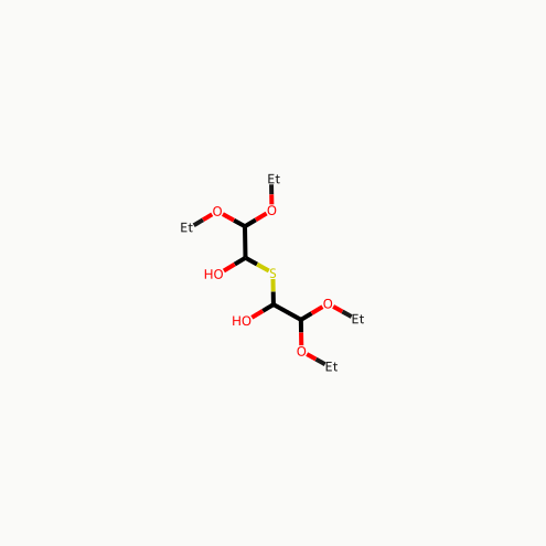 CCOC(OCC)C(O)SC(O)C(OCC)OCC